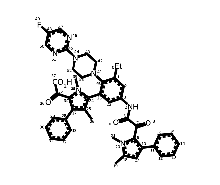 CCc1cc(NC(=O)C(=O)c2c(-c3ccccc3)cc(C)n2C)cc(-c2c(C)c(-c3ccccc3)c(C(=O)C(=O)O)n2C)c1N1CCN(c2ncc(F)cn2)CC1